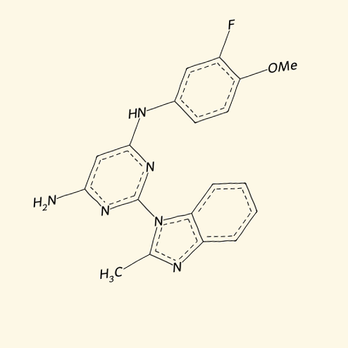 COc1ccc(Nc2cc(N)nc(-n3c(C)nc4ccccc43)n2)cc1F